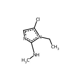 CCn1c(Cl)cnc1NC